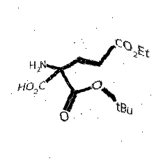 CCOC(=O)CCC(N)(C(=O)O)C(=O)OC(C)(C)C